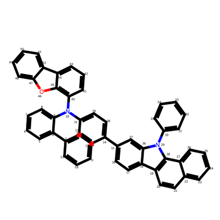 c1ccc(-c2ccccc2N(c2ccc(-c3ccc4c5ccc6ccccc6c5n(-c5ccccc5)c4c3)cc2)c2cccc3c2oc2ccccc23)cc1